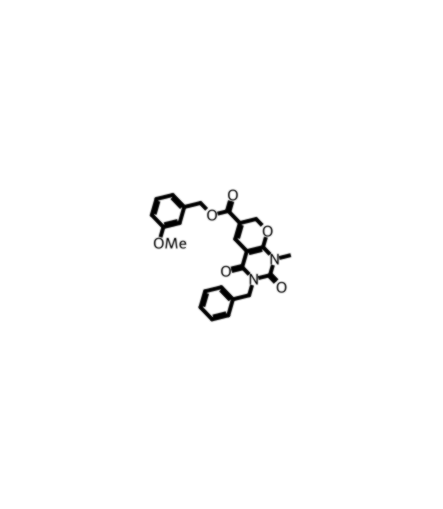 COc1cccc(COC(=O)C2=Cc3c(n(C)c(=O)n(Cc4ccccc4)c3=O)OC2)c1